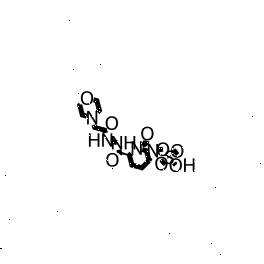 O=C(CN1CCOCC1)NNC(=O)[C@@H]1CCC2CN1C(=O)N2OS(=O)(=O)O